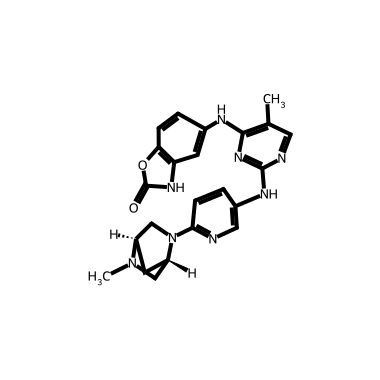 Cc1cnc(Nc2ccc(N3C[C@H]4C[C@H]3CN4C)nc2)nc1Nc1ccc2oc(=O)[nH]c2c1